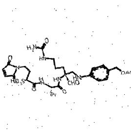 CC(=O)OCc1ccc(NC[C@@](C=O)(CCCNC(N)=O)NC(=O)[C@@H](NC(=O)[C@H](CCN2C(=O)C=CC2=O)S(=O)(=O)O)C(C)C)cc1